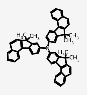 CC1(C)c2cc(N(c3ccc4c(c3)C(C)(C)c3ccc5ccccc5c3-4)c3ccc4c(c3)C(C)(C)c3ccc5ccccc5c3-4)ccc2-c2c1ccc1ccccc21